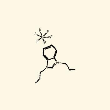 CCCn1c[n+](CCC)c2ccccc21.F[P-](F)(F)(F)(F)F